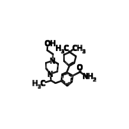 CC(Cc1ccc(C(N)=O)c(C2=CCC(C)(C)CC2)c1)N1CCN(CCO)CC1